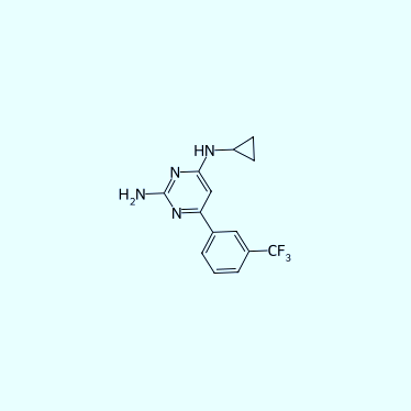 Nc1nc(NC2CC2)cc(-c2cccc(C(F)(F)F)c2)n1